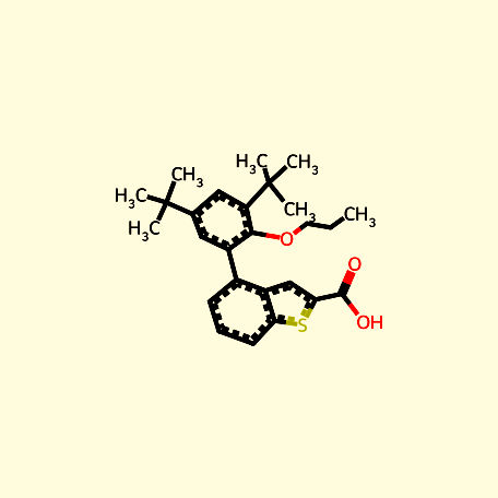 CCCOc1c(-c2cccc3sc(C(=O)O)cc23)cc(C(C)(C)C)cc1C(C)(C)C